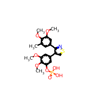 COc1cc(-c2nscc2-c2cc(OC)c(OC)c(OP(=O)(O)O)c2)cc(C)c1OC